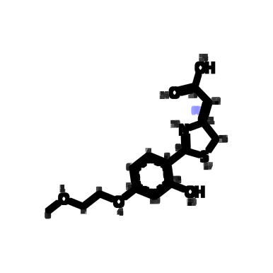 COCCOc1ccc(C2=N/C(=C\C(=O)O)CS2)c(O)c1